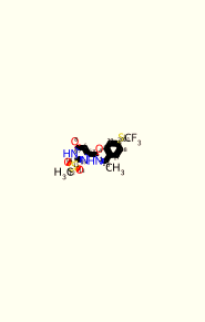 CC(NC(=O)c1cc(=O)[nH]c(S(C)(=O)=O)n1)c1ccc(SC(F)(F)F)cc1